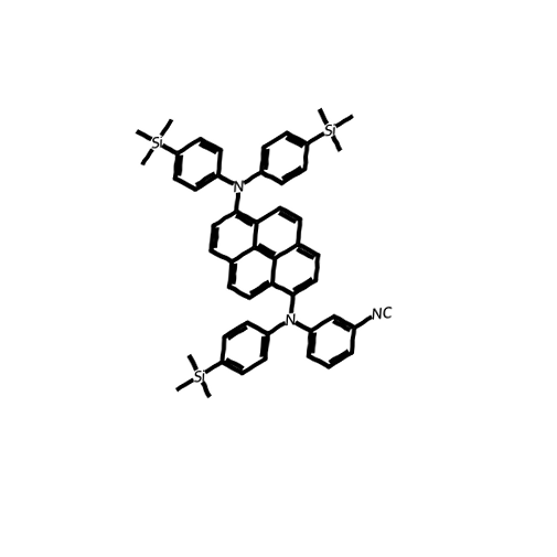 [C-]#[N+]c1cccc(N(c2ccc([Si](C)(C)C)cc2)c2ccc3ccc4c(N(c5ccc([Si](C)(C)C)cc5)c5ccc([Si](C)(C)C)cc5)ccc5ccc2c3c54)c1